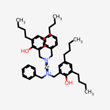 CCCCc1cc(CCCC)c(O)c(C[N+](Cc2ccccc2)=[Zr]=[N+](Cc2ccccc2)Cc2cc(CCCC)cc(CCCC)c2O)c1